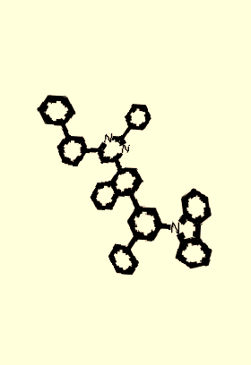 c1ccc(-c2cccc(-c3cc(-c4ccc(-c5cc(-c6ccccc6)cc(-n6c7ccccc7c7ccccc76)c5)c5ccccc45)nc(-c4ccccc4)n3)c2)cc1